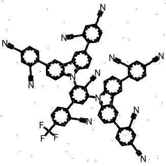 N#Cc1ccc(-c2ccc3c(c2)c2cc(-c4ccc(C#N)cc4C#N)ccc2n3-c2cc(-c3ccc(C(F)(F)F)cc3C#N)cc(-n3c4ccc(-c5ccc(C#N)cc5C#N)cc4c4cc(-c5ccc(C#N)cc5C#N)ccc43)c2C#N)c(C#N)c1